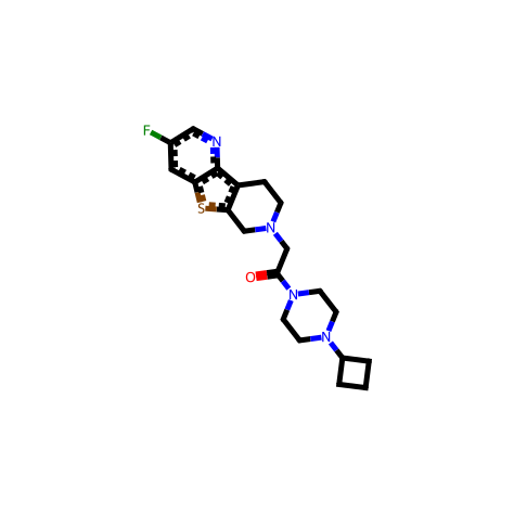 O=C(CN1CCc2c(sc3cc(F)cnc23)C1)N1CCN(C2CCC2)CC1